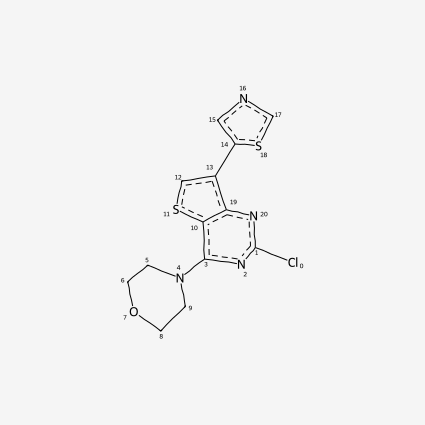 Clc1nc(N2CCOCC2)c2scc(-c3cncs3)c2n1